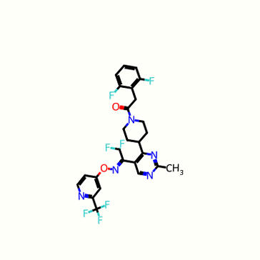 Cc1ncc(/C(=N/Oc2ccnc(C(F)(F)F)c2)C(F)F)c(C2CCN(C(=O)Cc3c(F)cccc3F)CC2)n1